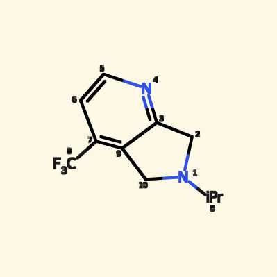 CC(C)N1Cc2nccc(C(F)(F)F)c2C1